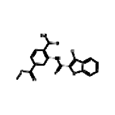 COC(=O)c1ccc(C(=O)O)c(NC(=O)c2sc3ccccc3c2Cl)c1